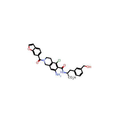 Nc1cc2c(c(Cl)c1C(=O)N[C@@H](Cc1cccc(CO)c1)C(=O)O)CCN(C(=O)c1ccc3ccoc3c1)C2